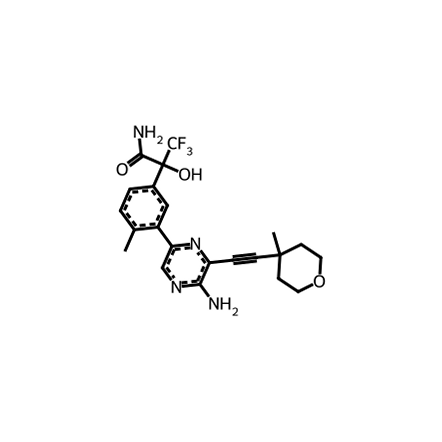 Cc1ccc(C(O)(C(N)=O)C(F)(F)F)cc1-c1cnc(N)c(C#CC2(C)CCOCC2)n1